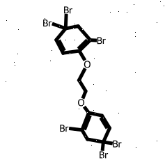 BrC1=C(OCCOC2=C(Br)CC(Br)(Br)C=C2)C=CC(Br)(Br)C1